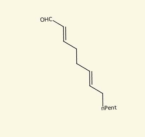 CCCCCC/C=C/CC/C=C/C=O